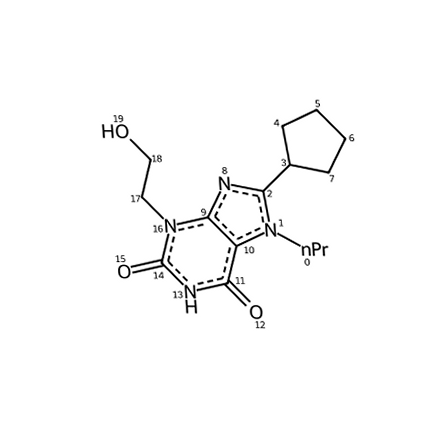 CCCn1c(C2CCCC2)nc2c1c(=O)[nH]c(=O)n2CCO